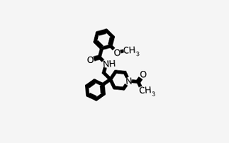 COc1ccccc1C(=O)NCC1(c2ccccc2)CCN(C(C)=O)CC1